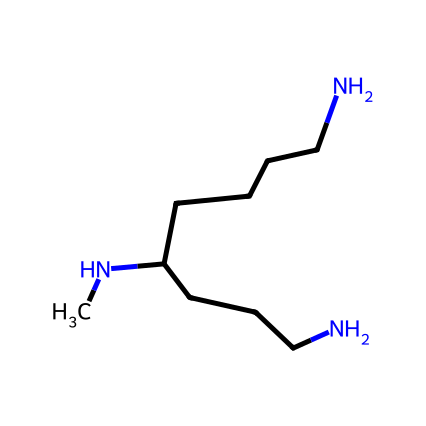 CNC(CCCN)CCCCN